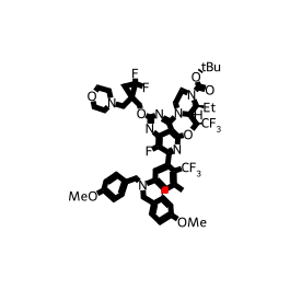 CC[C@H]1[C@H]2[C@H](C(F)(F)F)Oc3nc(-c4cc(N(Cc5ccc(OC)cc5)Cc5ccc(OC)cc5)c(F)c(C)c4C(F)(F)F)c(F)c4nc(OCC5(CN6CCOCC6)CC5(F)F)nc(c34)N2CCN1C(=O)OC(C)(C)C